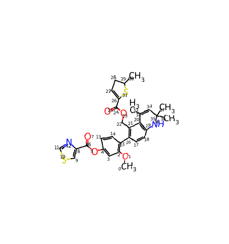 COc1cc(OC(=O)c2cscn2)ccc1-c1ccc2c(c1COC(=O)C1=CCC(C)S1)C(C)=CC(C)(C)N2